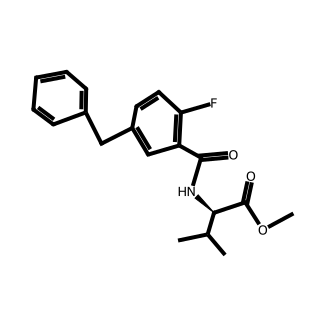 COC(=O)[C@H](NC(=O)c1cc(Cc2ccccc2)ccc1F)C(C)C